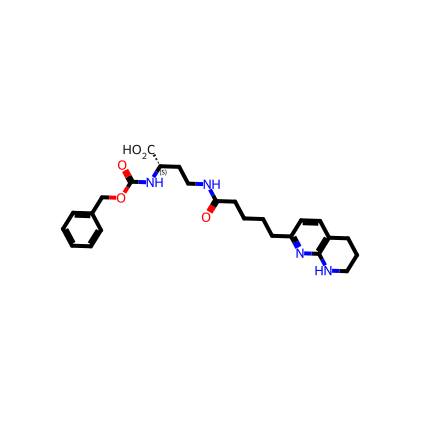 O=C(CCCCc1ccc2c(n1)NCCC2)NCC[C@H](NC(=O)OCc1ccccc1)C(=O)O